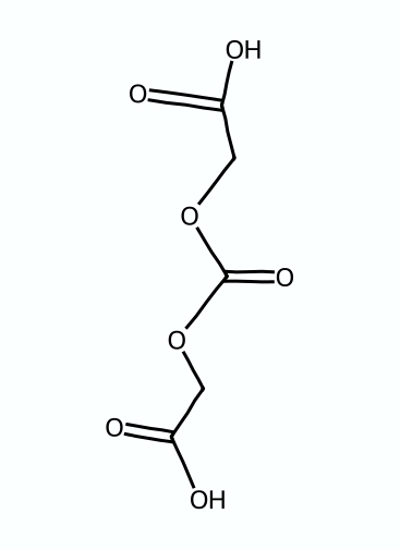 O=C(O)COC(=O)OCC(=O)O